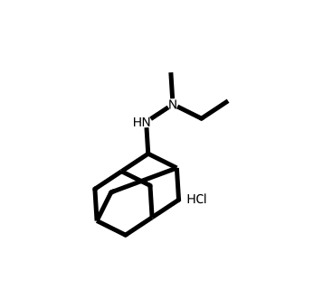 CCN(C)NC1C2CC3CC(C2)CC1C3.Cl